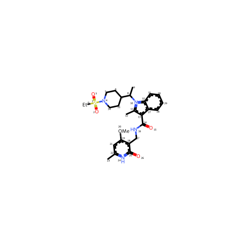 CCS(=O)(=O)N1CCC(C(C)n2c(C)c(C(=O)NCc3c(OC)cc(C)[nH]c3=O)c3ccccc32)CC1